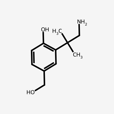 CC(C)(CN)c1cc(CO)ccc1O